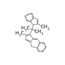 CC1=Cc2ccccc2C1C(C)(C)C1=C(C)C=C2Cc3ccccc3C=C21